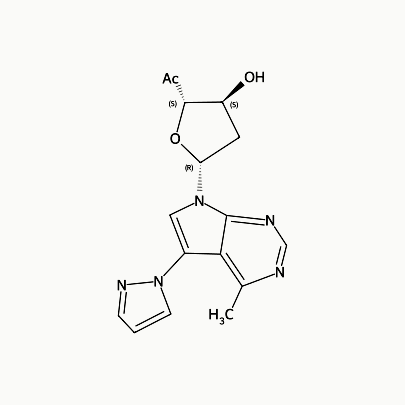 CC(=O)[C@H]1O[C@@H](n2cc(-n3cccn3)c3c(C)ncnc32)C[C@@H]1O